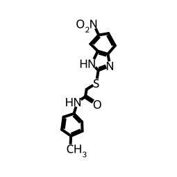 Cc1ccc(NC(=O)CSc2nc3ccc([N+](=O)[O-])cc3[nH]2)cc1